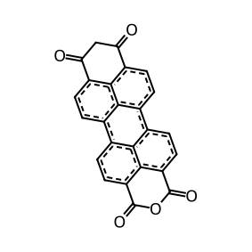 O=C1CC(=O)c2ccc3c4ccc5c6c(ccc(c7ccc1c2c73)c64)C(=O)OC5=O